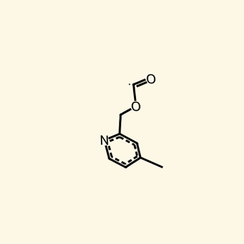 Cc1ccnc(CO[C]=O)c1